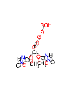 COc1cc2c(cc1OCc1cc(COc3cc4c(cc3OC)C(=O)N3c5ccccc5C[C@H]3C=N4)cc(OCCOCCOCCOCCC(=O)O)c1)N=C[C@@H]1Cc3ccccc3N1C2=O